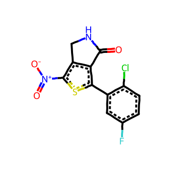 O=C1NCc2c([N+](=O)[O-])sc(-c3cc(F)ccc3Cl)c21